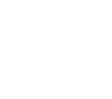 CC(=O)c1cc(Cl)ccc1OC(C)[N+](C)(C)Cc1ccccc1.[Cl-]